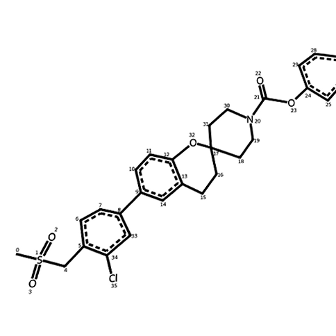 CS(=O)(=O)Cc1ccc(-c2ccc3c(c2)CCC2(CCN(C(=O)Oc4ccccc4)CC2)O3)cc1Cl